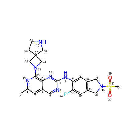 Cc1cc2cnc(Nc3cc4c(cc3F)CN(S(C)(=O)=O)C4)nc2c(N2CC3(CCNC3)C2)n1